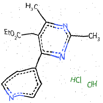 CCOC(=O)c1c(C)nc(C)nc1-c1ccncc1.Cl.Cl